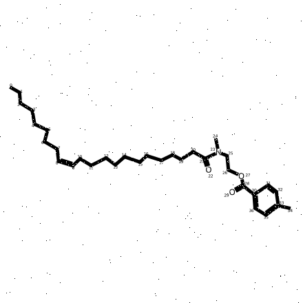 CCCCCCCC/C=C\CCCCCCCCCCCC(=O)N(C)CCOC(=O)c1ccc(C)cc1